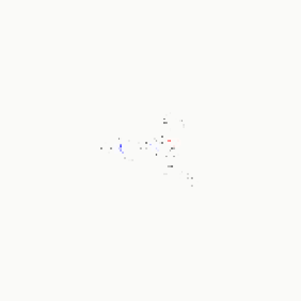 c1ccc(-n2c3ccccc3c3c(-c4ccc(N(c5ccc(-c6cccc(-c7ccc8ccccc8c7)c6)cc5)c5ccc(-c6cccc7ccccc67)c6oc7ccccc7c56)cc4)cccc32)cc1